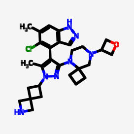 Cc1cc2[nH]ncc2c(-c2c(N3CCN(C4COC4)CC34CCC4)nn(C3CC4(CNC4)C3)c2C)c1Cl